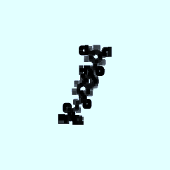 CCN(CC)C(=O)CCC(=O)N1CCc2nc(NC(=O)c3cc(Cl)cc(Cl)c3)ncc2C1